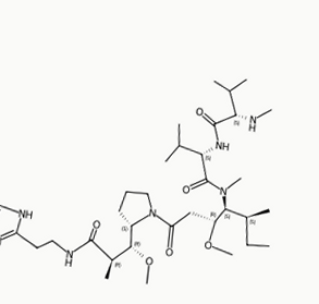 CC[C@H](C)[C@@H]([C@@H](CC(=O)N1CCC[C@H]1[C@H](OC)[C@@H](C)C(=O)NCCc1ncc[nH]1)OC)N(C)C(=O)[C@@H](NC(=O)[C@@H](NC)C(C)C)C(C)C